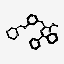 COC(=O)[C@H](Cc1cccc(OC[C@H]2COCCO2)c1)N=C(c1ccccc1)c1ccccc1